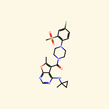 Cc1oc2ncnc(NC3(C)CC3)c2c1C(=O)N1CCN(c2ccc(F)cc2S(C)(=O)=O)CC1